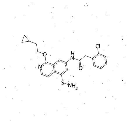 NSc1cc(NC(=O)Cc2ccccc2Cl)cc2c(OCCC3CC3)nccc12